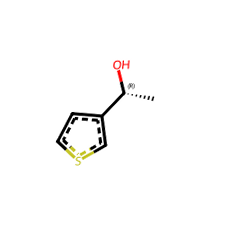 C[C@@H](O)c1ccsc1